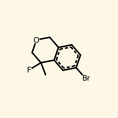 CC1(F)COCc2ccc(Br)cc21